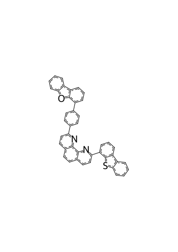 c1ccc2c(c1)oc1c(-c3ccc(-c4ccc5ccc6ccc(-c7cccc8c7sc7ccccc78)nc6c5n4)cc3)cccc12